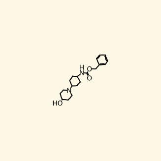 O=C(NC1CCC(N2CCC(O)CC2)CC1)OCc1ccccc1